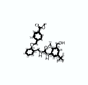 COC(=O)c1ccc(COc2ccccc2CNC(=O)Nc2cc(C(F)(F)F)cc(CO)c2OC)cc1